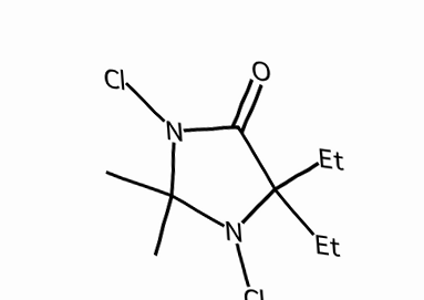 CCC1(CC)C(=O)N(Cl)C(C)(C)N1Cl